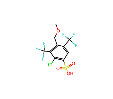 COCc1c(C(F)(F)F)cc(S(=O)(=O)O)c(Cl)c1C(F)(F)F